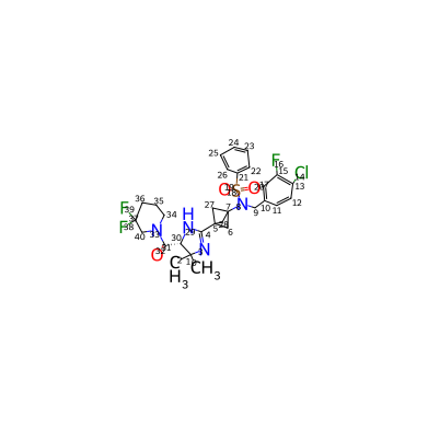 CC1(C)N=C(C23CC(N(Cc4ccc(Cl)c(F)c4)S(=O)(=O)c4ccccc4)(C2)C3)N[C@H]1C(=O)N1CCCC(F)(F)C1